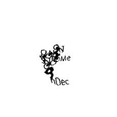 CCCCCCCCCCCCc1ccc(OC(=O)N(C)SN(C)C(=O)ON=C(C(=O)N(C)C)C(C)=NOC)cc1